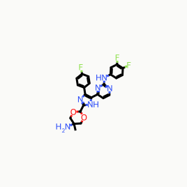 CC1(N)COC(c2nc(-c3ccc(F)cc3)c(-c3ccnc(Nc4ccc(F)c(F)c4)n3)[nH]2)OC1